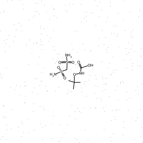 CC(C)(C)ONC(=O)O.NS(=O)(=O)CS(N)(=O)=O